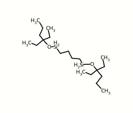 CCCC(CC)(CC)O[SiH2]CCCC[SiH2]OC(CC)(CC)CCC